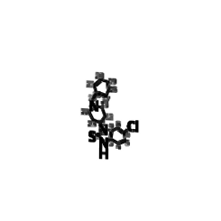 S=c1[nH]c2ccc(Cl)cc2n1C1CCN(Cc2ccccc2)CC1